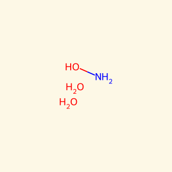 NO.O.O